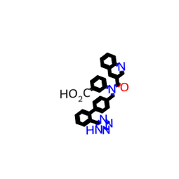 O=C(O)c1cccc(N(Cc2ccc(-c3ccccc3-c3nnn[nH]3)cc2)C(=O)c2cnc3ccccc3c2)c1